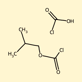 CC(C)COC(=O)Cl.O=C(O)Cl